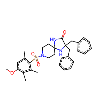 COc1cc(C)c(S(=O)(=O)N2CCC3(CC2)NC(=O)C(Cc2ccccc2)(Cc2ccccc2)N3)c(C)c1C